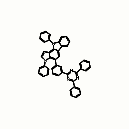 c1ccc(-c2nc(-c3ccccc3)nc(-c3cccc(-c4cc5c6ccccc6n(-c6ccccc6)c5c5ccn(-c6ccccc6)c45)c3)n2)cc1